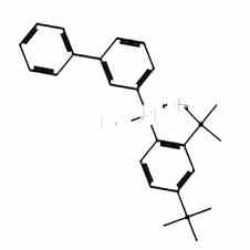 CC(C)(C)c1ccc([PH](O)(O)c2cccc(-c3ccccc3)c2)c(C(C)(C)C)c1